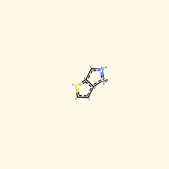 c1cc2[se]ncc2s1